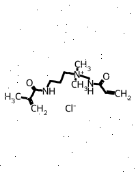 C=CC(=O)NC[N+](C)(C)CCCNC(=O)C(=C)C.[Cl-]